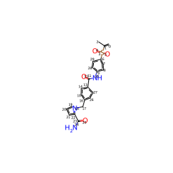 C=C(C)S(=O)(=O)c1ccc(NC(=O)c2ccc(Cn3cccc3C(N)=O)cc2)cc1